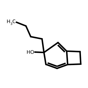 CCCCC1(O)C=C=C2CCC2=C1